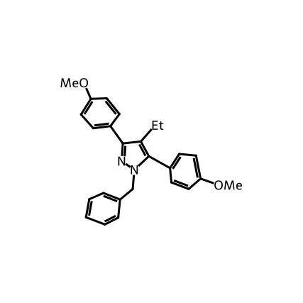 CCc1c(-c2ccc(OC)cc2)nn(Cc2ccccc2)c1-c1ccc(OC)cc1